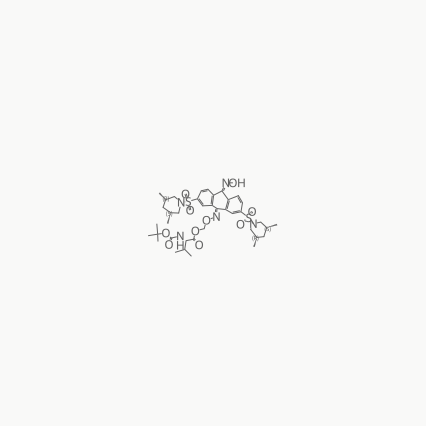 CC(C)C(NC(=O)OC(C)(C)C)C(=O)OCON=C1c2cc(S(=O)(=O)N3C[C@H](C)C[C@H](C)C3)ccc2C(=NO)c2ccc(S(=O)(=O)N3C[C@H](C)C[C@H](C)C3)cc21